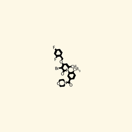 Cc1ccc(C(=O)N2CCOCC2)cc1-n1c(C)cc(OCc2ccc(F)cc2F)c(Br)c1=O